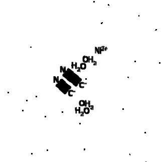 O.O.O.O.[C-]#N.[C-]#N.[Ni+2]